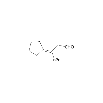 CCCC(CC=O)=C1CCCC1